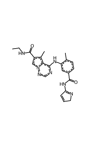 CCNC(=O)c1cn2ncnc(Nc3cc(C(=O)NC4=NCC=C4)ccc3C)c2c1C